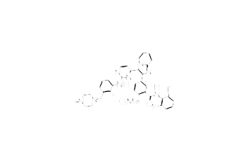 COc1ccc(-c2nc3ccccn3c2-c2ccnc(Nc3cccc(CN4CCN(C)CC4)c3C)n2)cc1C(=O)Nc1c(F)cccc1F